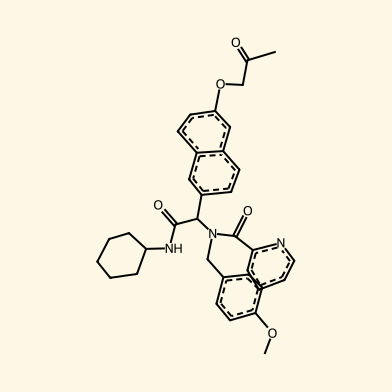 COc1ccc(CN(C(=O)c2ccccn2)C(C(=O)NC2CCCCC2)c2ccc3cc(OCC(C)=O)ccc3c2)cc1